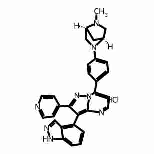 CN1C[C@@H]2C[C@H]1CN2c1ccc(-c2ccnc3c(-c4cccc5[nH]ncc45)c(-c4ccncc4)nn23)cc1.Cl